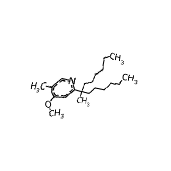 CCCCCCC(C)(CCCCCC)c1cc(OC)c(C)cn1